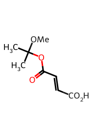 COC(C)(C)OC(=O)C=CC(=O)O